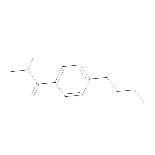 CCCCc1ccc(C(=O)C(C)Br)cc1